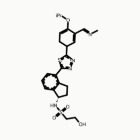 CN=CC1=CC(c2nnc(-c3cccc4c3CC[C@@H]4NS(=O)(=O)CCO)s2)CC=C1OC(C)C